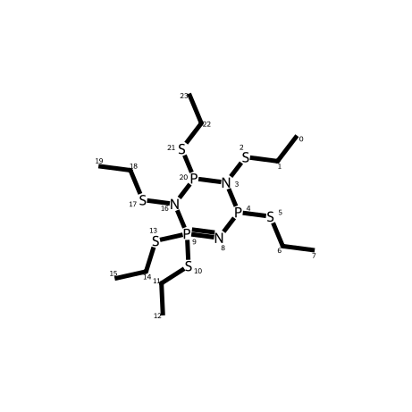 CCSN1P(SCC)N=P(SCC)(SCC)N(SCC)P1SCC